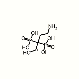 NCCC([C]O)(P(=O)(O)O)P(=O)(O)O